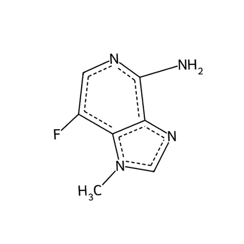 Cn1cnc2c(N)ncc(F)c21